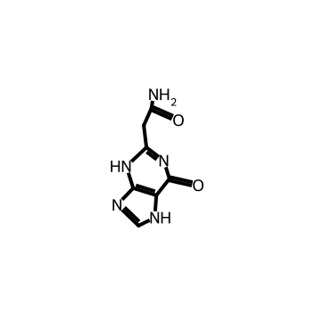 NC(=O)Cc1nc(=O)c2[nH]cnc2[nH]1